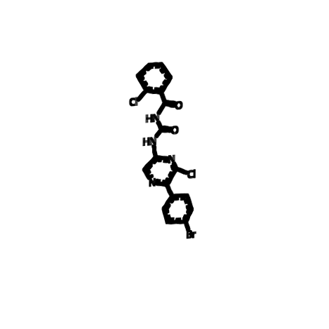 O=C(NC(=O)c1ccccc1Cl)Nc1cnc(-c2ccc(Br)cc2)c(Cl)n1